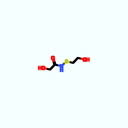 O=C(CO)NSCCO